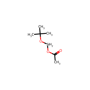 CC(=O)O[SiH2]OC(C)(C)C